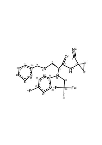 N#CC1(NC(=O)[C@H](CSCc2ccccn2)N(CC(F)(F)F)c2ccc(F)cc2)CC1